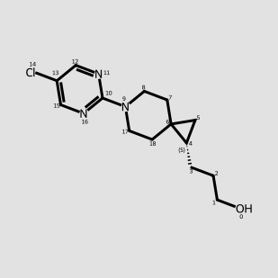 OCCC[C@H]1CC12CCN(c1ncc(Cl)cn1)CC2